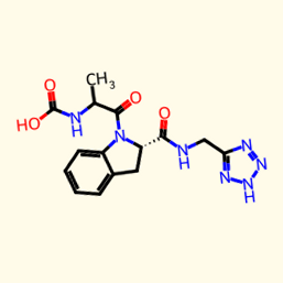 CC(NC(=O)O)C(=O)N1c2ccccc2C[C@H]1C(=O)NCc1nn[nH]n1